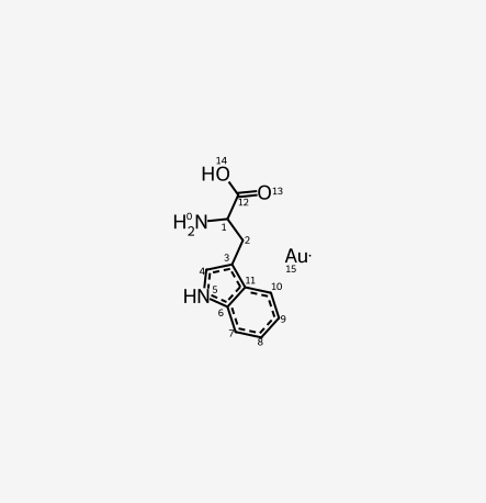 NC(Cc1c[nH]c2ccccc12)C(=O)O.[Au]